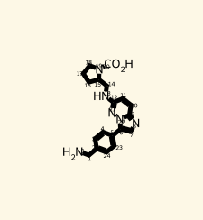 NCc1ccc(-c2cnc3ccc(NCC4CCCN4C(=O)O)nn23)cc1